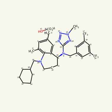 Cc1cc(C)c2c(c1)[C@@H](N(Cc1cc(C(F)(F)F)cc(C(F)(F)F)c1)c1nnn(C)n1)CCCN2CC1CCCCC1.O=C(O)O